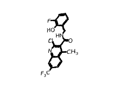 Cc1c(C(=O)NCc2cccc(F)c2O)c(Cl)nc2cc(C(F)(F)F)ccc12